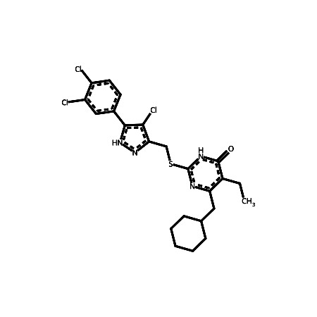 CCc1c(CC2CCCCC2)nc(SCc2n[nH]c(-c3ccc(Cl)c(Cl)c3)c2Cl)[nH]c1=O